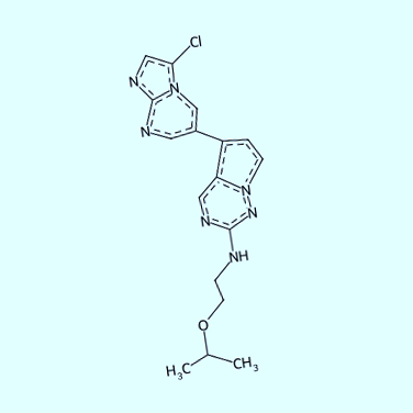 CC(C)OCCNc1ncc2c(-c3cnc4ncc(Cl)n4c3)ccn2n1